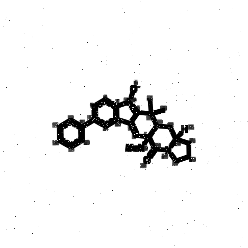 CN[C@@]12C=C3C(=[N+]([O-])c4ccc(-c5ccccc5)cc43)C(C)(C)C1C[C@@H]1CCCN1C2=O